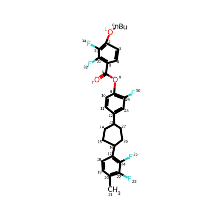 CCCCOc1ccc(C(=O)Oc2ccc(C3CCC(c4ccc(C)c(F)c4F)CC3)cc2F)c(F)c1F